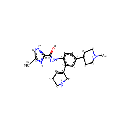 CC(=O)N1CCC(c2ccc(NC(=O)c3nc(C#N)c[nH]3)c(C3=CCCNC3)c2)CC1